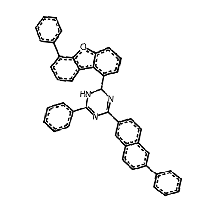 c1ccc(C2=NC(c3ccc4cc(-c5ccccc5)ccc4c3)=NC(c3cccc4oc5c(-c6ccccc6)cccc5c34)N2)cc1